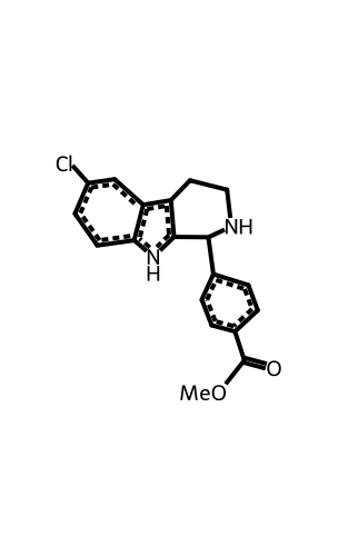 COC(=O)c1ccc(C2NCCc3c2[nH]c2ccc(Cl)cc32)cc1